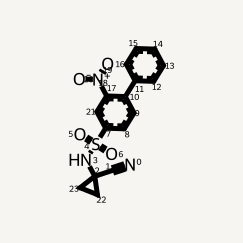 N#CC1(NS(=O)(=O)c2ccc(-c3ccccc3)c([N+](=O)[O-])c2)CC1